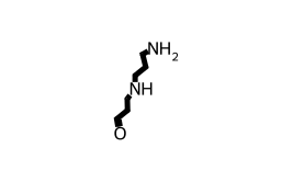 NCCCNCCC=O